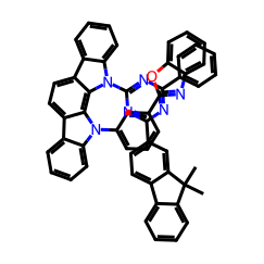 CC1(C)c2ccccc2-c2ccc(-c3nc(-c4ccccc4)nc(-n4c5ccccc5c5ccc6c7ccccc7n(-c7cccc(-c8nc9ccccc9o8)c7)c6c54)n3)cc21